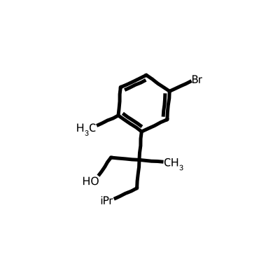 Cc1ccc(Br)cc1C(C)(CO)CC(C)C